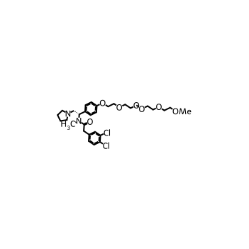 COCCOCCOOCCOCCOc1ccc([C@@H](CN2CCCC2)N(C)C(=O)Cc2ccc(Cl)c(Cl)c2)cc1